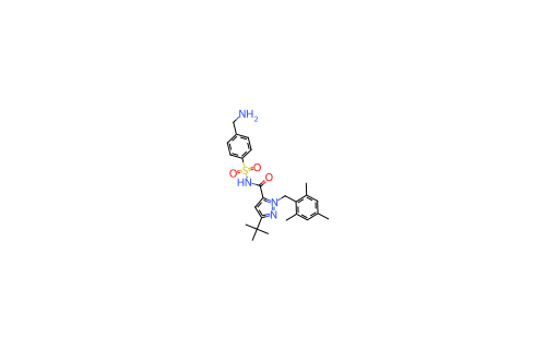 Cc1cc(C)c(Cn2nc(C(C)(C)C)cc2C(=O)NS(=O)(=O)c2ccc(CN)cc2)c(C)c1